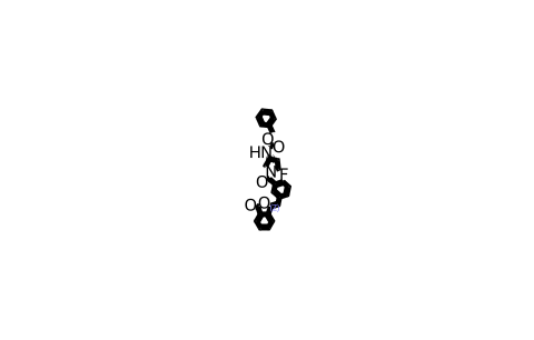 O=C(N[C@H]1CCN(C(=O)c2cc(/C=C3\OC(=O)c4ccccc43)ccc2F)C1)OCc1ccccc1